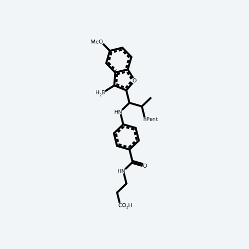 Bc1c(C(Nc2ccc(C(=O)NCCC(=O)O)cc2)C(C)CCCCC)oc2ccc(OC)cc12